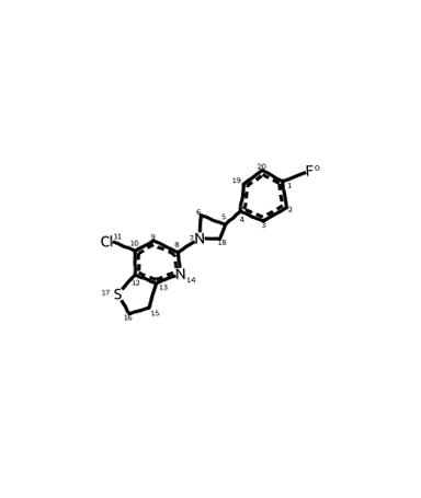 Fc1ccc(C2CN(c3cc(Cl)c4c(n3)CCS4)C2)cc1